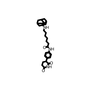 O=C1CCC(c2ccc(NC(=O)CCCCCCNC34CC5CC(CC(C5)C3)C4)cc2)C(=O)N1